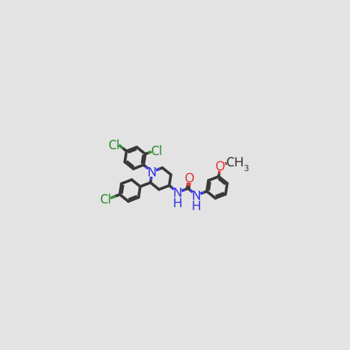 COc1cccc(NC(=O)NC2CCN(c3ccc(Cl)cc3Cl)C(C3C=CC(Cl)=CC3)C2)c1